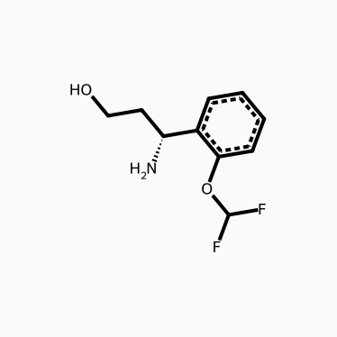 N[C@H](CCO)c1ccccc1OC(F)F